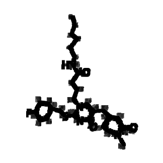 CCCCCCNC(=O)CCCn1cc(Cc2ccn(C)c(=O)c2)c(=O)nc1SCc1ccc(F)cc1